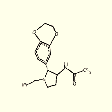 CC(C)CN1CCC(NC(=O)C(F)(F)F)[C@H]1c1ccc2c(c1)OCCO2